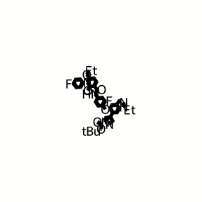 CCOc1ccc(C(=O)Nc2ccc(Oc3cc4cnn(CC)c4cc3-c3cnn(C(=O)OC(C)(C)C)c3)c(F)c2)c(=O)n1-c1ccc(F)cc1